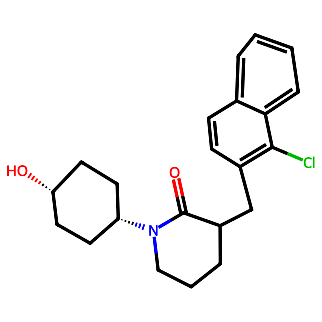 O=C1C(Cc2ccc3ccccc3c2Cl)CCCN1[C@H]1CC[C@@H](O)CC1